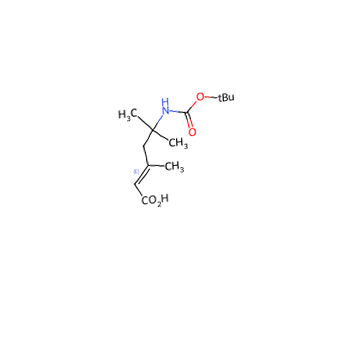 C/C(=C\C(=O)O)CC(C)(C)NC(=O)OC(C)(C)C